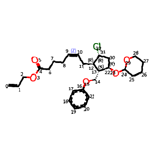 C=CCOC(=O)CCC/C=C\C[C@@H]1[C@@H](COc2ccccc2)[C@H](OC2CCCCO2)C[C@H]1Cl